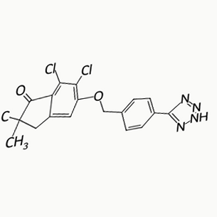 CC1(C)Cc2cc(OCc3ccc(-c4nn[nH]n4)cc3)c(Cl)c(Cl)c2C1=O